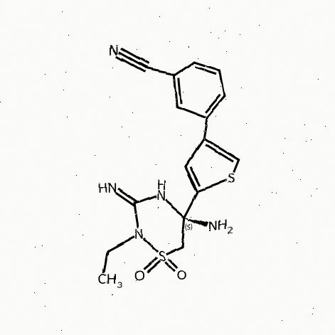 CCN1C(=N)N[C@](N)(c2cc(-c3cccc(C#N)c3)cs2)CS1(=O)=O